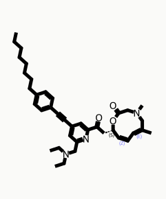 CCCCCCCCc1ccc(C#Cc2cc(CN(CC)CC)nc(C(=O)C[C@H]3/C=C\C=C(/C)CN(C)CC(=O)O3)c2)cc1